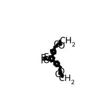 C=CC(=O)OCCc1ccc(-c2cc(OC(F)(F)F)cc(-c3ccc(CCOC(=O)C=C)cc3)c2)cc1